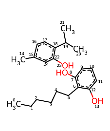 CCCCCCc1c(O)cccc1O.Cc1ccc(C(C)C)c(O)c1